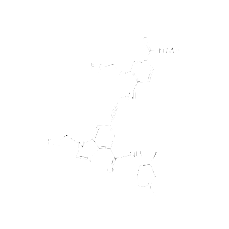 CNC(=O)c1ccc(NCC#Cc2cc(C(=O)N[C@H]3CCN(C)C[C@@H]3C)c3ncn(CC(F)(F)F)c3c2)c(OCC(F)(F)F)c1